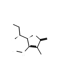 CCCNC1=C(C)C(=O)O[C@@H]1[C@@H](O)CO